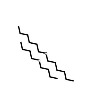 CCCCCCOCCCCCC.CCCCOCCCC